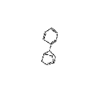 C1=C2CC(C1)C(c1ccccc1)C2